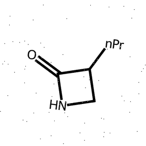 CCCC1CNC1=O